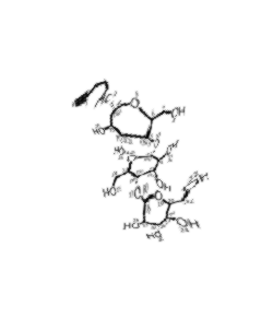 C#C[CH2][Ac][C@@H]1OC(CO)[C@@H](O[C@H]2OC(CO)[C@@H](O[C@H]3OC(CO)[C@@H](O)[C@H](O)C3O)[C@H](O)C2O)[C@H](O)C1O